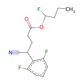 CCCC(F)OC(=O)CCC(C#N)c1c(F)cccc1F